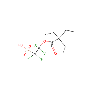 CCC(CC)(CC)C(=O)OC(F)(F)C(F)(F)S(=O)(=O)O